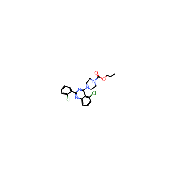 CCCOC(=O)N1CCN(c2nc(-c3ccccc3Cl)nc3cccc(Cl)c23)CC1